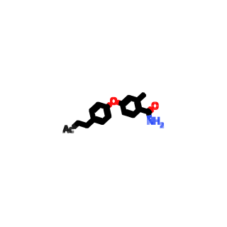 CC(=O)CCc1ccc(Oc2ccc(C(N)=O)c(C)c2)cc1